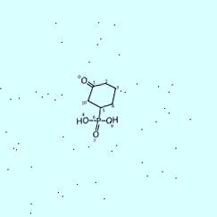 O=C1CCCC(P(=O)(O)O)C1